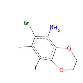 Cc1c(Br)c(N)c2c(c1I)OCCO2